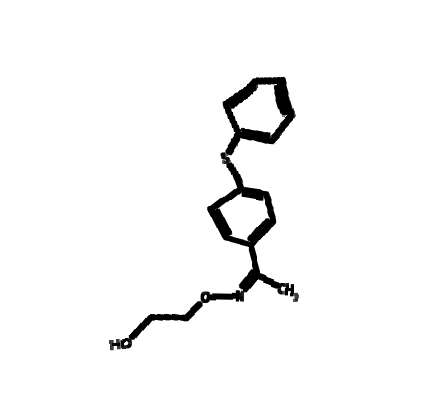 C/C(=N/OCCO)c1ccc(Sc2ccccc2)cc1